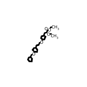 CCOC(=O)C(Cc1ccc(OCC=Cc2ccc(OCc3ccccc3)cc2)cc1)OCC